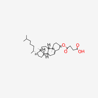 CC(C)CCCC(C)[C@H]1CC[C@H]2[C@@H]3CC=C4C[C@@H](OC(=O)CCC(=O)O)CC[C@]4(C)[C@H]3CC[C@]12C